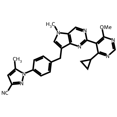 COc1ncnc(C2CC2)c1-c1ncc2c(n1)c(Cc1ccc(-n3nc(C#N)cc3C)cc1)cn2C